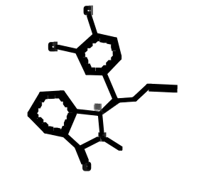 C=CCC(c1ccc(Cl)c(Cl)c1)[C@@H]1c2ccccc2C(=O)N1C